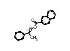 C/C(=N\OC(=O)c1ccc2ccccc2c1)c1ccccc1